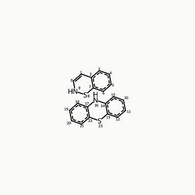 C1=Cc2ccccc2SN1.c1ccc2c(c1)Nc1ccccc1S2